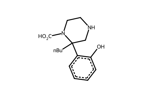 CCCCC1(c2ccccc2O)CNCCN1C(=O)O